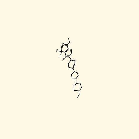 CCC(=O)c1ccc(-c2ccc(C3CCC(C4CCC(CC)CC4)CC3)cc2)c(F)c1C(F)(F)F